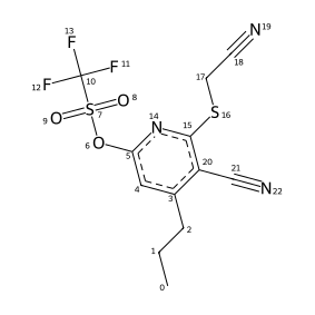 CCCc1cc(OS(=O)(=O)C(F)(F)F)nc(SCC#N)c1C#N